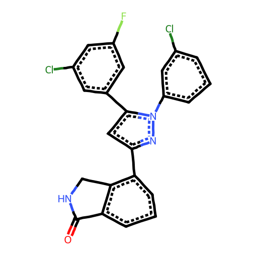 O=C1NCc2c1cccc2-c1cc(-c2cc(F)cc(Cl)c2)n(-c2cccc(Cl)c2)n1